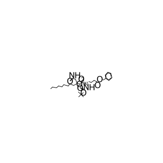 CCCCCCCCCC(CC(N)=O)OC(=O)[C@H](CCCC(=O)OCc1ccccc1)NC(=O)OC(C)(C)C